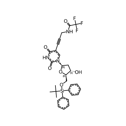 CC(C)(C)[Si](OC[C@H]1O[C@@H](n2cc(C#CCNC(=O)C(F)(F)F)c(=O)[nH]c2=O)C[C@@H]1O)(c1ccccc1)c1ccccc1